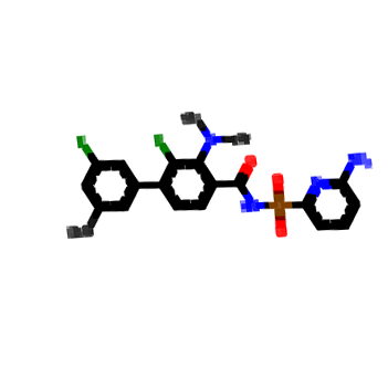 CCCN(c1c(C(=O)NS(=O)(=O)c2cccc(N)n2)ccc(-c2cc(F)cc(OCC(C)C)c2)c1F)C(C)(C)C